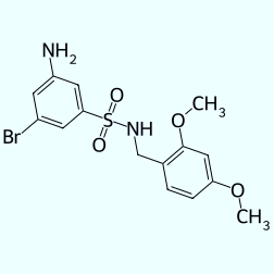 COc1ccc(CNS(=O)(=O)c2cc(N)cc(Br)c2)c(OC)c1